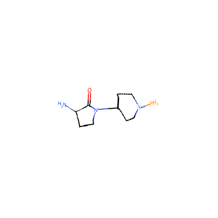 NC1CCN(C2CCN(P)CC2)C1=O